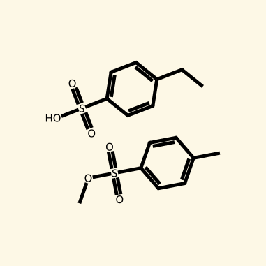 CCc1ccc(S(=O)(=O)O)cc1.COS(=O)(=O)c1ccc(C)cc1